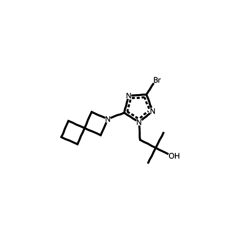 CC(C)(O)Cn1nc(Br)nc1N1CC2(CCC2)C1